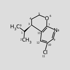 CC(C)[C@H]1CCOc2ncc(Cl)cc21